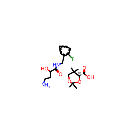 CC1(C)OCC(C)(C)[C@H](C(=O)O)O1.NCCC(O)C(=O)NCc1ccccc1F